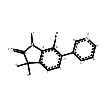 CN1C(=O)C(C)(C)c2ccc(-c3cccnc3)c(F)c21